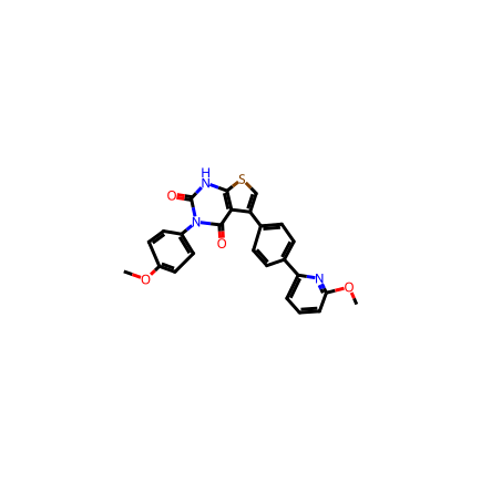 COc1ccc(-n2c(=O)[nH]c3scc(-c4ccc(-c5cccc(OC)n5)cc4)c3c2=O)cc1